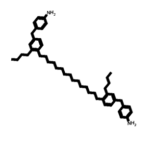 CCCCc1cc(Cc2ccc(N)cc2)ccc1CCCCCCCCCCCCCCCc1ccc(Cc2ccc(N)cc2)cc1CCCC